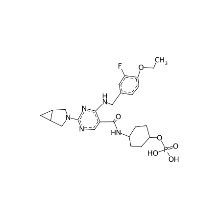 CCOc1ccc(CNc2nc(N3CC4CC4C3)ncc2C(=O)NC2CCC(OP(=O)(O)O)CC2)cc1F